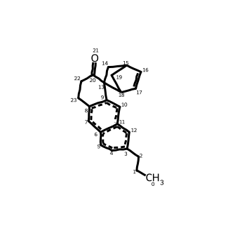 CCCc1ccc2cc3c(cc2c1)C1(CC2C=CC1C2)C(=O)CC3